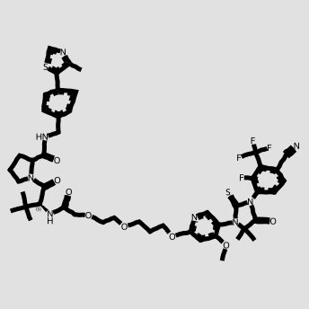 COc1cc(OCCCOCCOCC(=O)N[C@H](C(=O)N2CCCC2C(=O)NCc2ccc(-c3scnc3C)cc2)C(C)(C)C)ncc1N1C(=S)N(c2ccc(C#N)c(C(F)(F)F)c2F)C(=O)C1(C)C